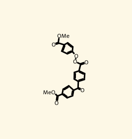 COC(=O)c1ccc(OOC(=O)c2ccc(C(=O)c3ccc(C(=O)OC)cc3)cc2)cc1